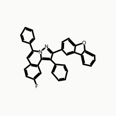 Fc1ccc2cc(-c3ccccc3)n3nc(-c4ccc5oc6ccccc6c5c4)c(-c4ccccc4)c3c2c1